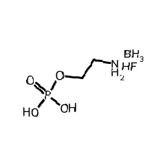 B.F.NCCOP(=O)(O)O